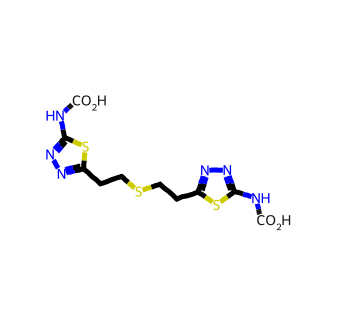 O=C(O)Nc1nnc(CCSCCc2nnc(NC(=O)O)s2)s1